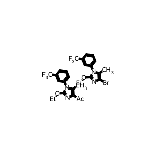 CCOc1nc(Br)c(C)n1-c1cccc(C(F)(F)F)c1.CCOc1nc(C(C)=O)c(C)n1-c1cccc(C(F)(F)F)c1